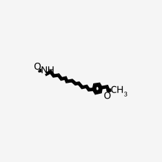 CC(=O)Cc1ccc(CCCCCCCCCCCCCNC=O)cc1